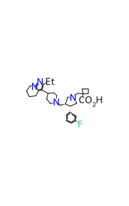 CCc1nn2c(c1C1CCN(C[C@H]3CN(CC4(C(=O)O)CCC4)C[C@@H]3c3cccc(F)c3)CC1)CCCC2